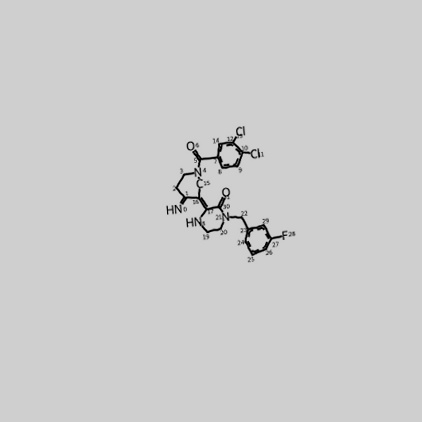 N=C1CCN(C(=O)c2ccc(Cl)c(Cl)c2)C/C1=C1/NCCN(Cc2cccc(F)c2)C1=O